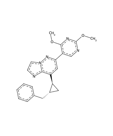 COc1ncc(-c2cc([C@H]3C[C@@H]3Cc3ccccc3)c3nccn3n2)c(OC)n1